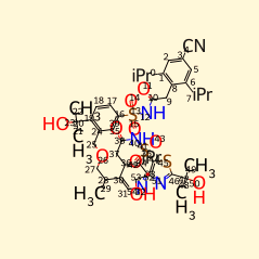 CC(C)c1cc(C#N)cc(C(C)C)c1CC(=O)NS(=O)(=O)c1ccc(C(C)(C)O)c(COCC(C)c2cncc(C(C)C)c2CC(=O)NS(=O)(=O)c2sc(C(C)(C)O)nc2CO)c1